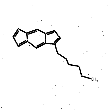 CCCCCCC1=CC=c2cc3c(cc21)=CC=C3